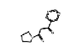 O=C(CC(=O)N1CCCC1)c1cncnc1